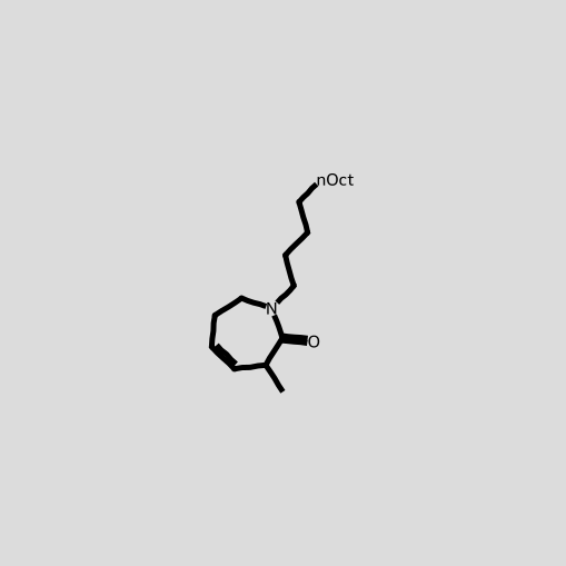 CCCCCCCCCCCCN1CCC=CC(C)C1=O